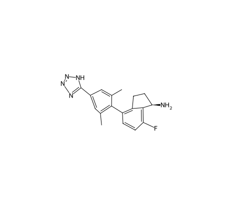 Cc1cc(-c2nnn[nH]2)cc(C)c1-c1ccc(F)c2c1CC[C@H]2N